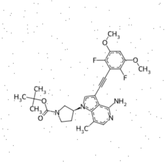 COc1cc(OC)c(F)c(C#Cc2cn([C@H]3CCN(C(=O)OC(C)(C)C)C3)c3c(C)cnc(N)c23)c1F